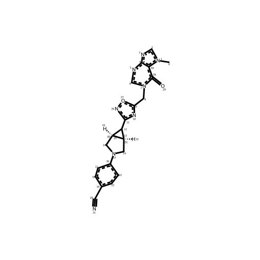 Cn1cnc2ncn(Cc3nc(C4[C@H]5CN(c6ccc(C#N)cc6)C[C@@H]45)no3)c(=O)c21